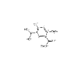 COC(=O)c1cc(B(O)O)c(Cl)cc1OC